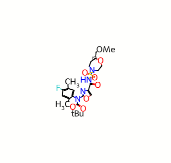 COC[C@@H]1CCN(S(=O)(=O)NC(=O)c2coc(N(C(=O)OC(C)(C)C)c3cc(C)c(F)cc3C)n2)CCO1